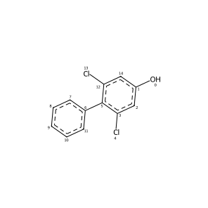 Oc1cc(Cl)c(-c2ccccc2)c(Cl)c1